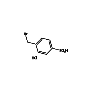 Cl.O=S(=O)(O)c1ccc(CBr)cc1